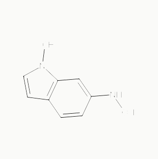 Cn1ccc2ccc(NO)cc21